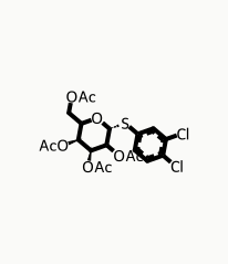 CC(=O)OCC1O[C@H](Sc2ccc(Cl)c(Cl)c2)C(OC(C)=O)[C@@H](OC(C)=O)[C@H]1OC(C)=O